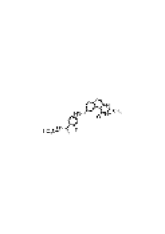 Cc1nc2ccc3ccc(CNc4ccc(C(=O)NCC(=O)O)c(F)c4)cc3c2c(=O)[nH]1